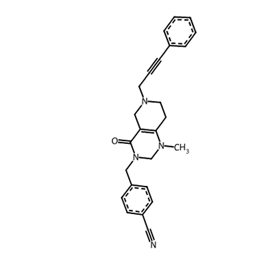 CN1CN(Cc2ccc(C#N)cc2)C(=O)C2=C1CCN(CC#Cc1ccccc1)C2